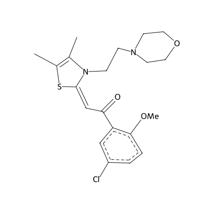 COc1ccc(Cl)cc1C(=O)C=C1SC(C)=C(C)N1CCN1CCOCC1